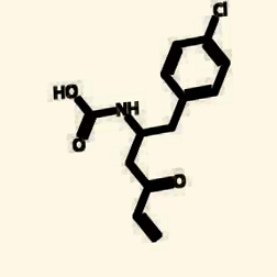 C=CC(=O)CC(Cc1ccc(Cl)cc1)NC(=O)O